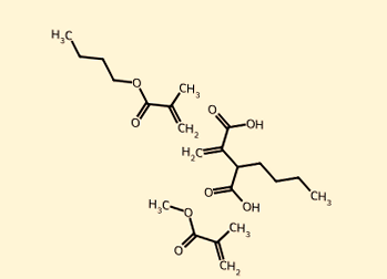 C=C(C(=O)O)C(CCCC)C(=O)O.C=C(C)C(=O)OC.C=C(C)C(=O)OCCCC